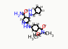 COc1cc(Nc2cc(NCc3ccccc3)c(C(N)=O)cn2)ccc1C(=O)N(C)C